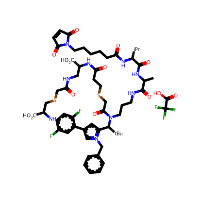 CC(NC(=O)C(NC(=O)CCCCCN1C(=O)C=CC1=O)C(C)C)C(=O)NCCCN(C(=O)CSCCC(=O)NC(CNC(=O)CSCC(N)C(=O)O)C(=O)O)C(c1cc(-c2cc(F)ccc2F)cn1Cc1ccccc1)C(C)(C)C.O=C(O)C(F)(F)F